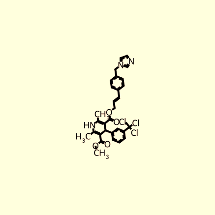 COC(=O)C1=C(C)NC(C)=C(C(=O)OCC=Cc2ccc(Cn3ccnc3)cc2)C1c1cccc(C(Cl)(Cl)Cl)c1